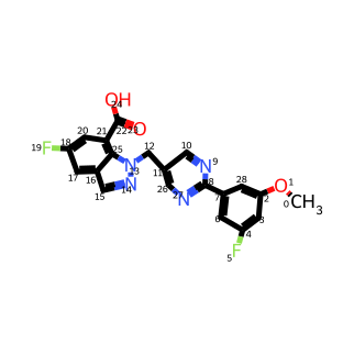 COc1cc(F)cc(-c2ncc(Cn3ncc4cc(F)cc(C(=O)O)c43)cn2)c1